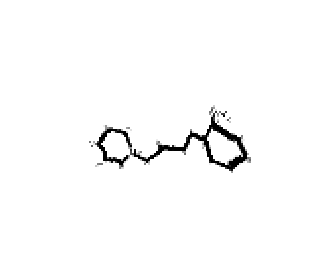 Nc1ccccc1CCCCN1CCCCC1